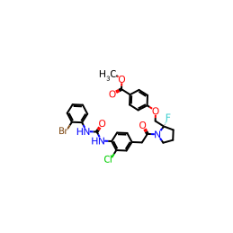 COC(=O)c1ccc(OC[C@@]2(F)CCCN2C(=O)Cc2ccc(NC(=O)Nc3ccccc3Br)c(Cl)c2)cc1